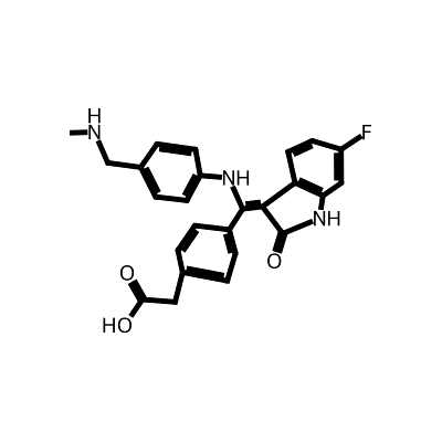 CNCc1ccc(NC(=C2C(=O)Nc3cc(F)ccc32)c2ccc(CC(=O)O)cc2)cc1